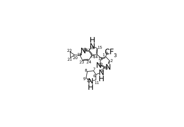 FC(F)(F)c1cnc(NC2CCCNC2)nc1-c1c[nH]c2nc(C3CC3)ccc12